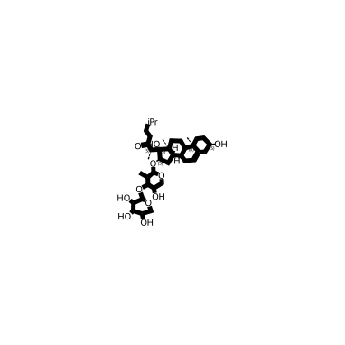 CC(C)CCC(=O)[C@@H](C)[C@@]1(O)[C@@H](OC2OCC(O)C(OC3OCC(O)C(O)C3O)C2C)C[C@H]2[C@@H]3CC=C4C[C@@H](O)CC[C@]4(C)C3CC[C@@]21C